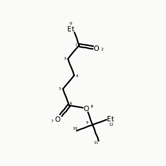 CCC(=O)CCCC(=O)OC(C)(C)CC